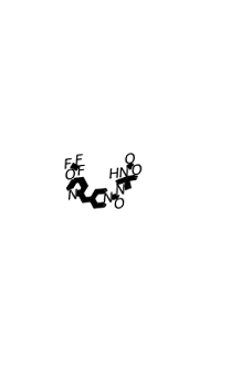 O=C1NC2(CO1)CN(C(=O)N1CCC(Cc3ccc(OC(F)(F)F)cn3)CC1)C2